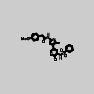 COc1ccc(CC(=O)Nc2nc(C)c(-c3cnc(Cl)c(NS(=O)(=O)c4ccccc4)c3)s2)cc1